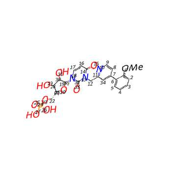 COc1ccccc1-c1ccnc(Cn2c(=O)ccn([C@@H]3O[C@H](COP(=O)(O)O)C(O)C3O)c2=O)c1